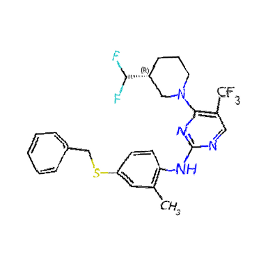 Cc1cc(SCc2ccccc2)ccc1Nc1ncc(C(F)(F)F)c(N2CCC[C@@H](C(F)F)C2)n1